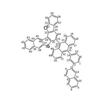 c1cc(-c2ccc3ccccc3c2)cc(-c2c3ccccc3c(-c3cc4c5ccccc5oc4c4c3sc3cc5ccccc5cc34)c3ccccc23)c1